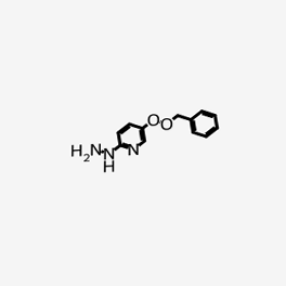 NNc1ccc(OOCc2ccccc2)cn1